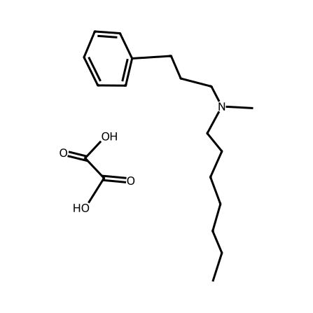 CCCCCCCN(C)CCCc1ccccc1.O=C(O)C(=O)O